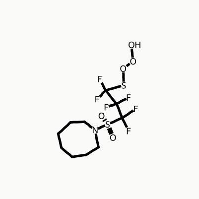 O=S(=O)(N1CCCCCCC1)C(F)(F)C(F)(F)C(F)(F)SOOO